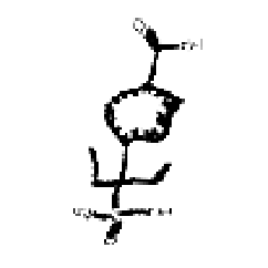 CCC(CC)(c1ccc(C(=O)O)cc1)P(=O)(O)O